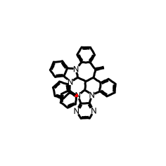 C=C1c2ccccc2N2c3ccccc3N(c3ccccc3)C2C2C1c1ccccc1N1c3nccnc3N(c3ccccc3)C21